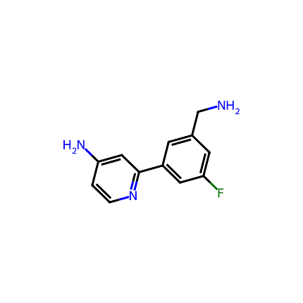 NCc1cc(F)cc(-c2cc(N)ccn2)c1